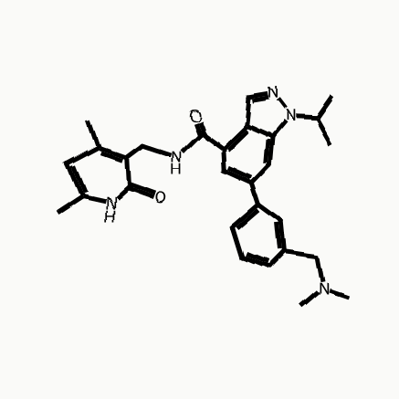 Cc1cc(C)c(CNC(=O)c2cc(-c3cccc(CN(C)C)c3)cc3c2cnn3C(C)C)c(=O)[nH]1